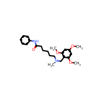 COc1cc(OC)c(CN(C)CCCCCC(=O)Nc2ccccc2)c(OC)c1